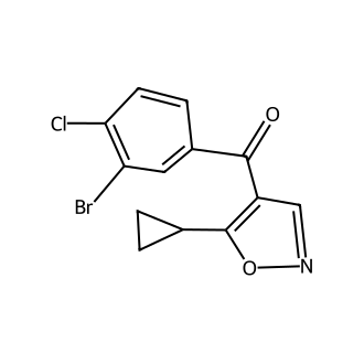 O=C(c1ccc(Cl)c(Br)c1)c1cnoc1C1CC1